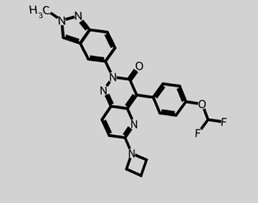 Cn1cc2cc(-n3nc4ccc(N5CCC5)nc4c(-c4ccc(OC(F)F)cc4)c3=O)ccc2n1